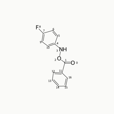 O=C(ONc1ccc(F)cc1)c1ccccc1